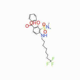 CN(C)S(=O)(=O)c1c(NCCCCCCCC(F)(F)F)ccc(C(=O)O)c1Oc1ccccc1